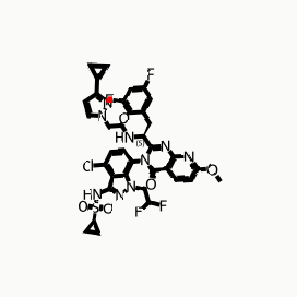 COc1ccc2c(=O)n(-c3ccc(Cl)c4c(NS(=O)(=O)C5CC5)nn(CC(F)F)c34)c([C@H](Cc3cc(F)cc(F)c3)NC(=O)Cn3ccc(C4CC4)n3)nc2n1